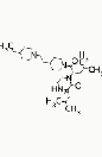 CCC1CCN(CCC2CCN(C(=O)C(CC(C)C)N3CCN[C@@H](CC(C)C)C3=O)CC2)CC1